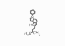 BC(=C)CCc1cc2c([nH]1)C1C=CN(c3ccccc3)C1C=C2